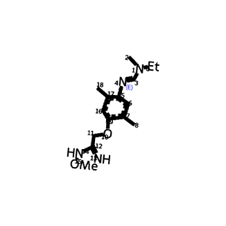 CCN(C)/C=N/c1cc(C)c(OCC(=N)NOC)cc1C